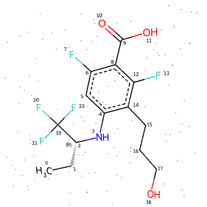 CC[C@@H](Nc1cc(F)c(C(=O)O)c(F)c1CCCO)C(F)(F)F